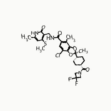 CSc1cc(C)[nH]c(=O)c1CNC(=O)c1cc(Cl)c2c(c1C)O[C@@](C)([C@H]1CC[C@@H](C(=O)N3CC(F)(F)C3)CC1)O2